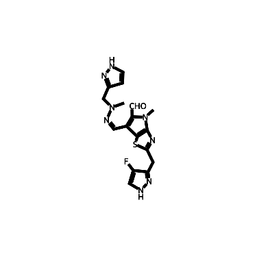 CN(Cc1cc[nH]n1)/N=C\c1c(C=O)n(C)c2nc(Cc3n[nH]cc3F)sc12